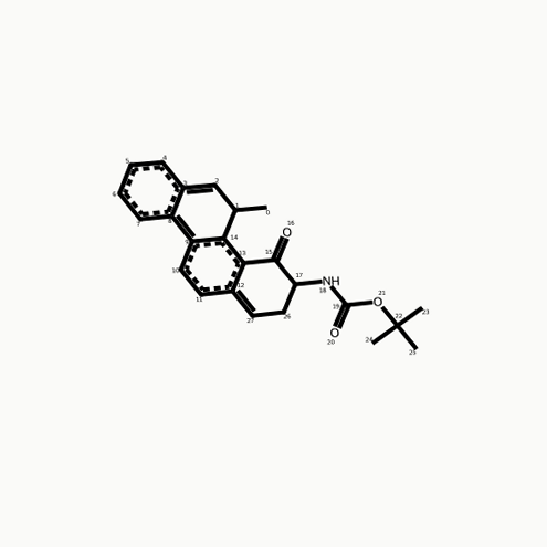 CC1C=c2ccccc2=c2ccc3c(c21)C(=O)C(NC(=O)OC(C)(C)C)CC=3